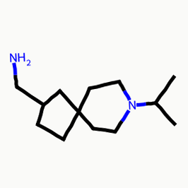 CC(C)N1CCC2(CCC(CN)C2)CC1